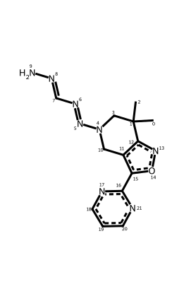 CC1(C)CN(N=NC=NN)Cc2c1noc2-c1ncccn1